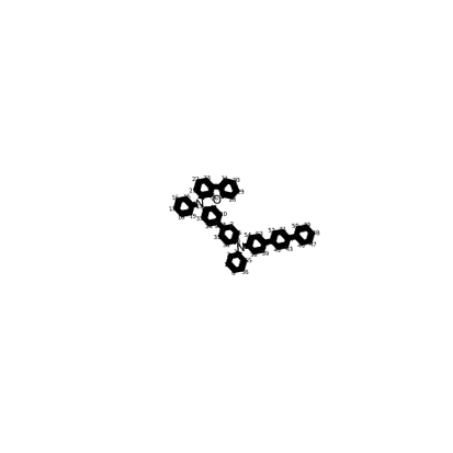 C1=CCC(N(C2=CCC(c3ccc(N(c4ccccc4)c4cccc5c4oc4ccccc45)cc3)C=C2)c2ccc(-c3ccc(-c4ccccc4)cc3)cc2)C=C1